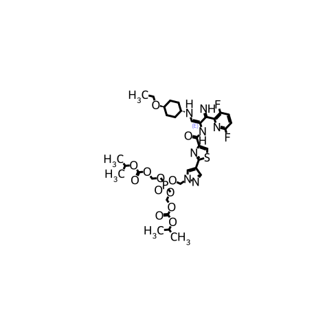 CCO[C@H]1CC[C@H](N/C=C(/NC(=O)c2csc(-c3cnn(COP(=O)(OCOC(=O)OC(C)C)OCOC(=O)OC(C)C)c3)n2)C(=N)c2nc(F)ccc2F)CC1